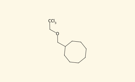 ClC(Cl)(Cl)COCC1CCCCCCC1